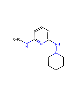 O=CNc1cccc(NN2CCCCC2)n1